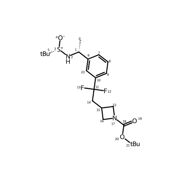 C[C@@H](N[S@@+]([O-])C(C)(C)C)c1cccc(C(F)(F)CC2CN(C(=O)OC(C)(C)C)C2)c1